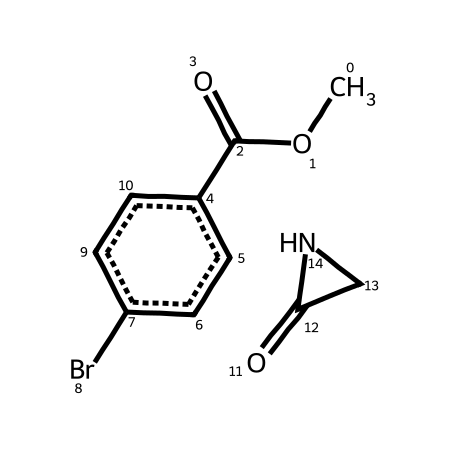 COC(=O)c1ccc(Br)cc1.O=C1CN1